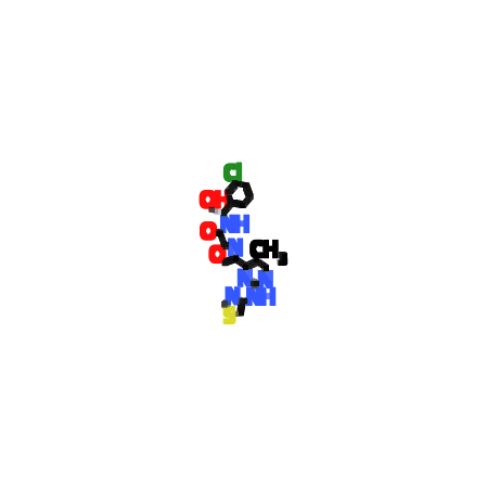 Cc1cnc(Nc2cscn2)nc1-c1coc(C(=O)N[C@H](CO)c2cccc(Cl)c2)n1